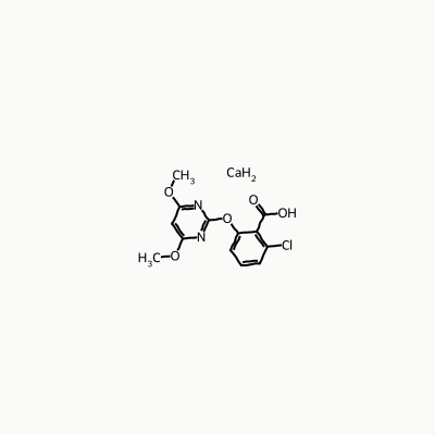 COc1cc(OC)nc(Oc2cccc(Cl)c2C(=O)O)n1.[CaH2]